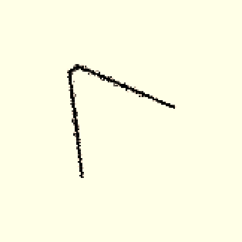 CCCCCCCCCCCCCCCCOCCOCCOCCOCCOCCCCOCCOCCOCCOCCO[N+](C)(C)CCC[N+](C)(C)CCOCCOCCOCCOCCOCCOCCOCCOCCOCCOCCCCCCCCCCCCCCCC